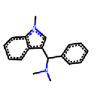 CN(C)C(c1ccccc1)c1cn(C)c2ccccc12